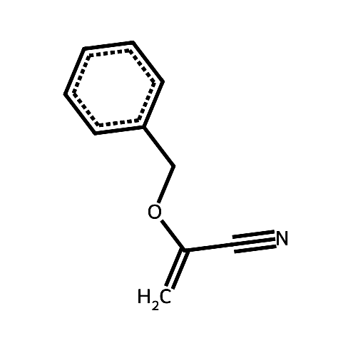 C=C(C#N)OCc1ccccc1